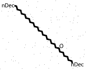 CCCCCCCCCCCCCCCCCCCCCCCCCCCCCCC(=O)CCCCCCCCCCCCCCCC